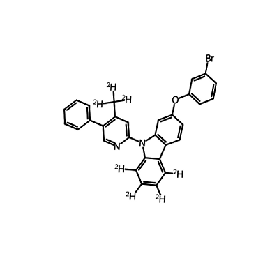 [2H]c1c([2H])c([2H])c2c(c1[2H])c1ccc(Oc3cccc(Br)c3)cc1n2-c1cc(C([2H])([2H])[2H])c(-c2ccccc2)cn1